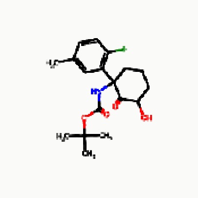 Cc1ccc(F)c(C2(NC(=O)OC(C)(C)C)CCCC(O)C2=O)c1